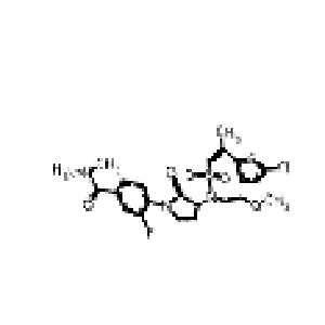 COCCN([C@H]1CCN(c2ccc(C(=O)N(C)C)cc2F)C1=O)S(=O)(=O)/C=C(/C)c1ccc(Cl)s1